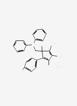 CC1=C(C)[C]([Ti+3])(C[SiH](c2ccccc2)c2ccccc2)C(c2ccc(C)cc2)=C1C.[Cl-].[Cl-].[Cl-]